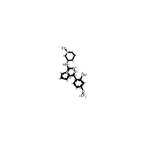 CCN1CCC[C@@H](Nc2nnc(-c3ccc(OC(F)(F)F)cc3O)c3cccn23)C1